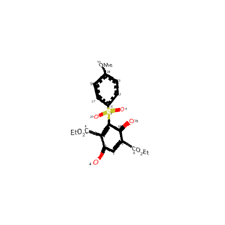 CCOC(=O)C1=CC(=O)C(C(=O)OCC)=C(S(=O)(=O)c2ccc(OC)cc2)C1=O